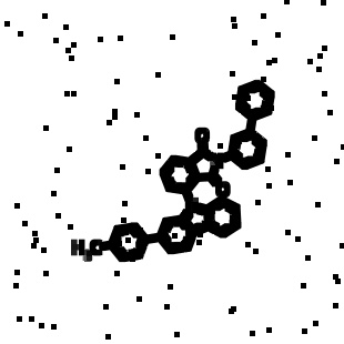 Cc1ccc(-c2ccc3c4ccccc4n(-c4cccc5c4C(=O)N(c4cccc(-c6ccccc6)c4)C5=O)c3c2)cc1